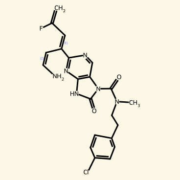 C=C(F)/C=C(\C=C/N)c1ncc2c(n1)[nH]c(=O)n2C(=O)N(C)CCc1ccc(Cl)cc1